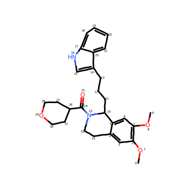 COc1cc2c(cc1OC)C(CCCc1c[nH]c3ccccc13)N(C(=O)C1CCOCC1)CC2